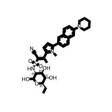 CC[C@H]1OC(O)[C@H](NS(=O)(=O)/C(C#N)=C(\C)c2ccc(-c3ccc4cc(N5CCCCC5)ccc4c3)n2C)[C@@H](O)[C@@H]1O